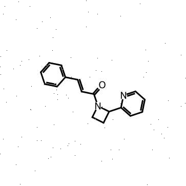 O=C(/C=C/c1ccccc1)N1CCC1c1ccccn1